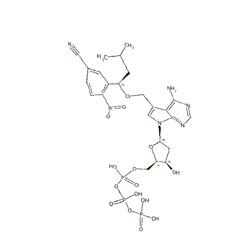 CC(C)C[C@@H](OCc1cn([C@H]2C[C@@H](O)[C@@H](COP(=O)(O)OP(=O)(O)OP(=O)(O)O)O2)c2ncnc(N)c12)c1cc(C#N)ccc1[N+](=O)[O-]